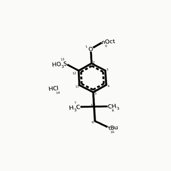 CCCCCCCCOc1ccc(C(C)(C)CC(C)(C)C)cc1S(=O)(=O)O.Cl